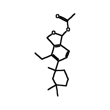 CCc1c(C2(C)CCCC(C)(C)C2)ccc2c1COC2OC(C)=O